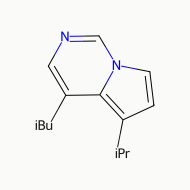 CCC(C)c1cncn2ccc(C(C)C)c12